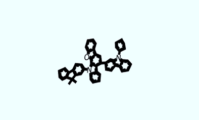 CC1(C)c2ccccc2-c2ccc(-n3c4ccccc4c4c(-c5ccc6c7ccccc7n(-c7ccccc7)c6c5)cc5c6ccccc6oc5c43)cc21